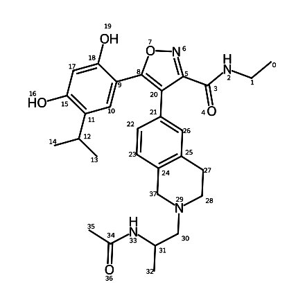 CCNC(=O)c1noc(-c2cc(C(C)C)c(O)cc2O)c1-c1ccc2c(c1)CCN(CC(C)NC(C)=O)C2